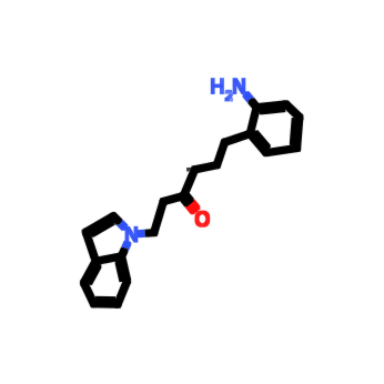 Nc1ccccc1CC[CH]C(=O)CCn1ccc2ccccc21